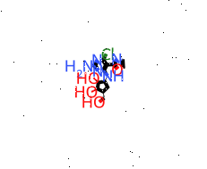 Nc1nc(Cl)c(-c2ncco2)c(N[C@@H]2C[C@H](CO)[C@@H](O)[C@H]2O)n1